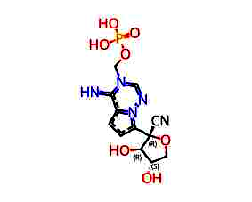 N#C[C@@]1(c2ccc3c(=N)n(COP(=O)(O)O)cnn23)OC[C@H](O)[C@H]1O